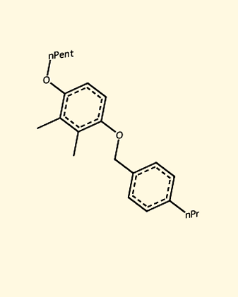 CCCCCOc1ccc(OCc2ccc(CCC)cc2)c(C)c1C